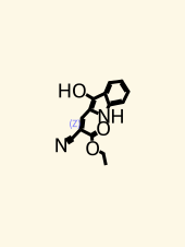 CCOC(=O)/C(C#N)=C\c1[nH]c2ccccc2c1O